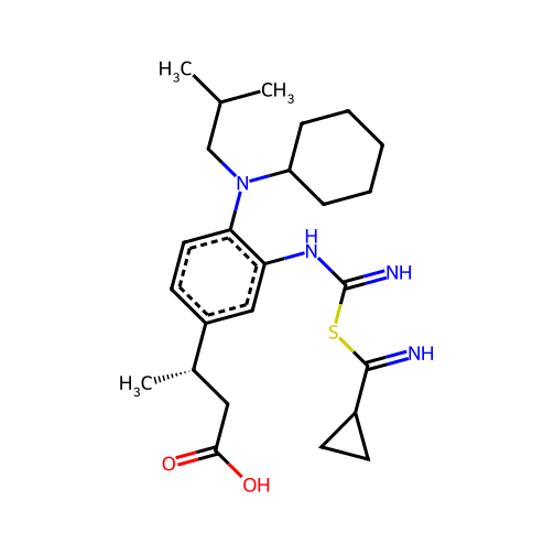 CC(C)CN(c1ccc([C@@H](C)CC(=O)O)cc1NC(=N)SC(=N)C1CC1)C1CCCCC1